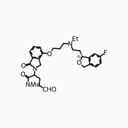 CCN(CCCOc1cccc2c1CN(C(CCC=O)C(=O)NC)C2=O)CC[C@@H]1OCc2ccc(F)cc21